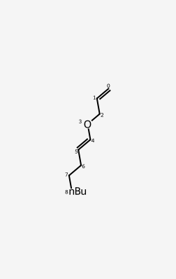 C=CCOC=CCCCCCC